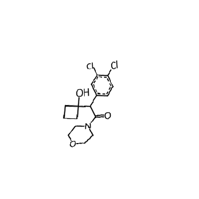 O=C(C(c1ccc(Cl)c(Cl)c1)C1(O)CCC1)N1CCOCC1